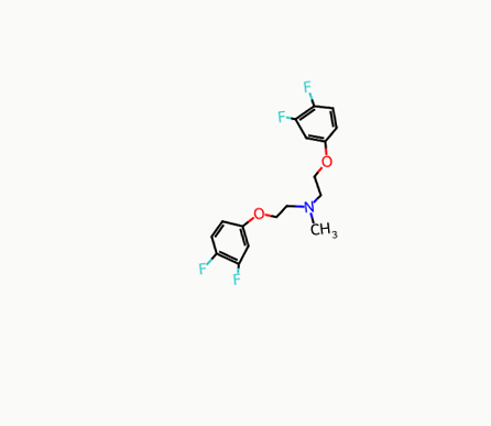 CN(CCOc1ccc(F)c(F)c1)CCOc1ccc(F)c(F)c1